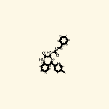 Cc1ccc(C2=NC(NC(=O)OCc3ccccc3)C(=O)Nc3ccccc32)nc1